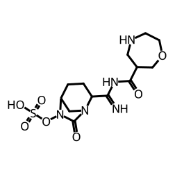 N=C(NC(=O)C1CNCCOC1)C1CCC2CN1C(=O)N2OS(=O)(=O)O